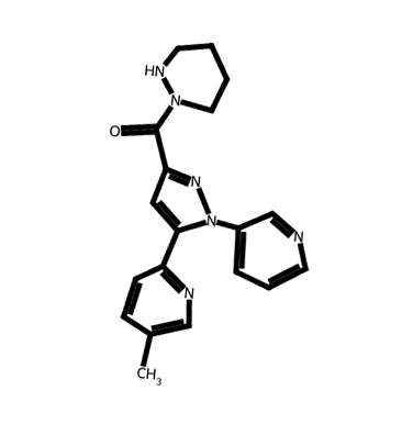 Cc1ccc(-c2cc(C(=O)N3CCCCN3)nn2-c2cccnc2)nc1